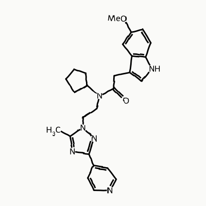 COc1ccc2[nH]cc(CC(=O)N(CCn3nc(-c4ccncc4)nc3C)C3CCCC3)c2c1